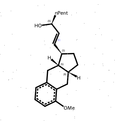 CCCCC[C@H](O)/C=C/[C@H]1CC[C@@H]2Cc3c(cccc3OC)C[C@@H]21